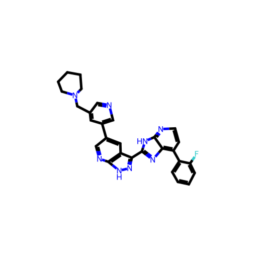 Fc1ccccc1-c1ccnc2[nH]c(-c3n[nH]c4ncc(-c5cncc(CN6CCCCC6)c5)cc34)nc12